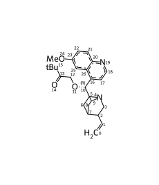 C=CC1CN2CCC1CC2[C@H](OCC(=O)C(C)(C)C)c1ccnc2ccc(OC)cc12